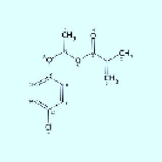 C=C(C)C(=O)OC(C)Oc1ccc(Cl)cc1